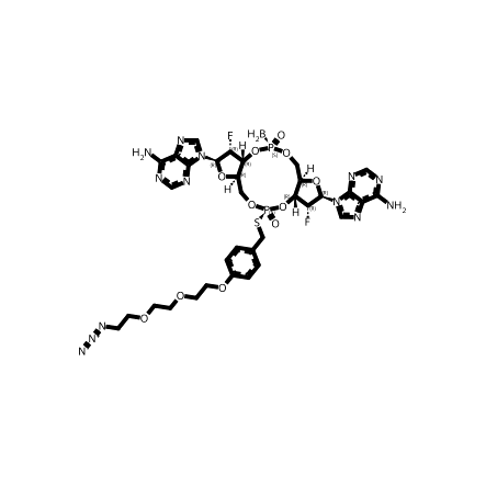 B[P@]1(=O)OC[C@H]2O[C@@H](n3cnc4c(N)ncnc43)[C@H](F)[C@@H]2O[P@@](=O)(SCc2ccc(OCCOCCOCCN=[N+]=[N-])cc2)OC[C@H]2O[C@@H](n3cnc4c(N)ncnc43)[C@H](F)[C@@H]2O1